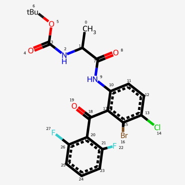 CC(NC(=O)OC(C)(C)C)C(=O)Nc1ccc(Cl)c(Br)c1C(=O)c1c(F)cccc1F